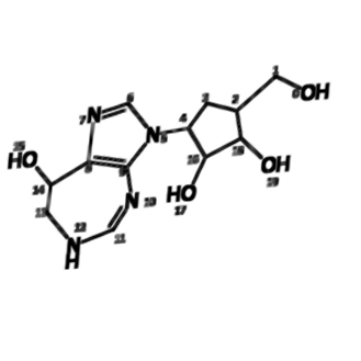 OCC1CC(n2cnc3c2N=CNCC3O)C(O)C1O